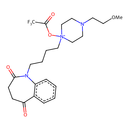 COCCN1CC[N+](CCCCN2C(=O)CCC(=O)c3ccccc32)(OC(=O)C(F)(F)F)CC1